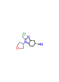 N#Cc1ccc2c(c1)nc(CCl)n2C1CCOCC1